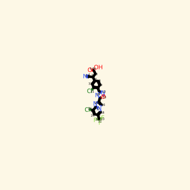 N#CC(CC(=O)O)c1ccc(-c2noc(-c3cn4cc(C(F)(F)F)cc(Cl)c4n3)n2)c(Cl)c1